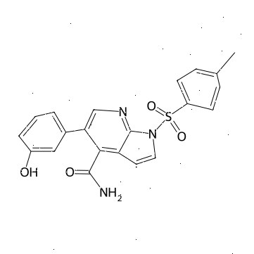 Cc1ccc(S(=O)(=O)n2c[c]c3c(C(N)=O)c(-c4cccc(O)c4)cnc32)cc1